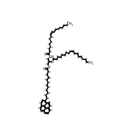 CCCCCCCC/C=C\CCCCCCCC(=O)OCC(COC(=O)CCCCCCCCCCCc1ccc2ccc3cccc4ccc1c2c34)OC(=O)CCCCCCC/C=C\CCCCCCCC